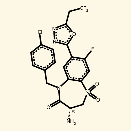 N[C@H]1CS(=O)(=O)c2cc(F)c(-c3nnc(CC(F)(F)F)o3)cc2N(Cc2ccc(Cl)cc2)C1=O